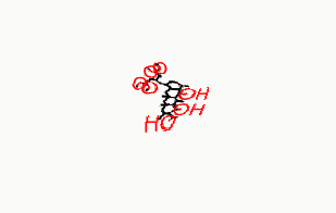 COC(CC(CC(OC)OC)CC1CCC(C)C2C(O)C3C(C)C4(C)C(O)C(C(C)O)C(C)CC4(C)CC3(C)CC12)OC